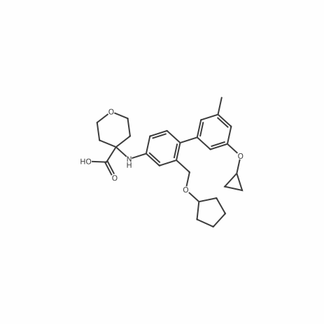 Cc1cc(OC2CC2)cc(-c2ccc(NC3(C(=O)O)CCOCC3)cc2COC2CCCC2)c1